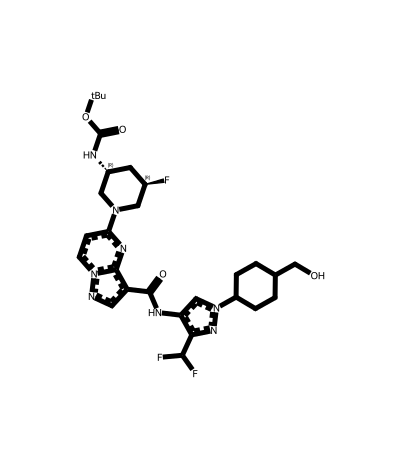 CC(C)(C)OC(=O)N[C@@H]1C[C@@H](F)CN(c2ccn3ncc(C(=O)Nc4cn(C5CCC(CO)CC5)nc4C(F)F)c3n2)C1